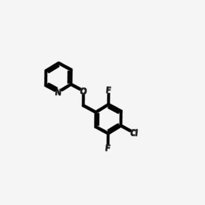 Fc1cc(COc2ccccn2)c(F)cc1Cl